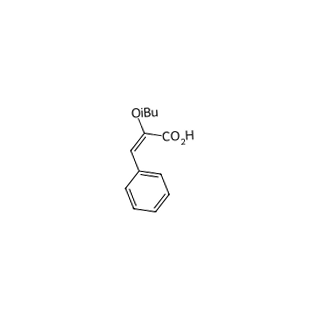 CC(C)COC(=Cc1ccccc1)C(=O)O